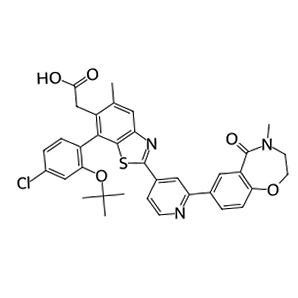 Cc1cc2nc(-c3ccnc(-c4ccc5c(c4)C(=O)N(C)CCO5)c3)sc2c(-c2ccc(Cl)cc2OC(C)(C)C)c1CC(=O)O